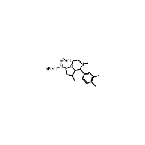 CCCCCN(CCCCC)N1CC(C)[C]2C(c3ccc(C)c(C)c3)N(C)CCN21